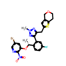 C[C@@H](Oc1cc(Br)cnc1[N+](=O)[O-])c1ccc(F)cc1-c1nn(C)nc1Cc1cc2c(s1)CCOC2